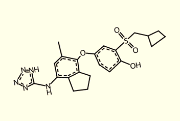 Cc1cc(Nc2nnn[nH]2)c2c(c1Oc1ccc(O)c(S(=O)(=O)CC3CCC3)c1)CCC2